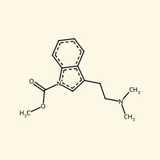 COC(=O)n1cc(CCN(C)C)c2ccccc21